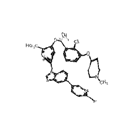 C[C@@H](Oc1cc(-n2cnc3cc(-c4ccc(F)nc4)ccc32)sc1C(=O)O)c1cccc(OC2CCN(C)CC2)c1Cl